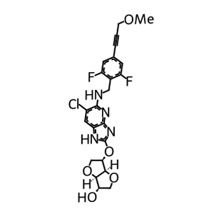 COCC#Cc1cc(F)c(CNc2nc3nc(O[C@@H]4CO[C@H]5[C@@H]4OC[C@H]5O)[nH]c3cc2Cl)c(F)c1